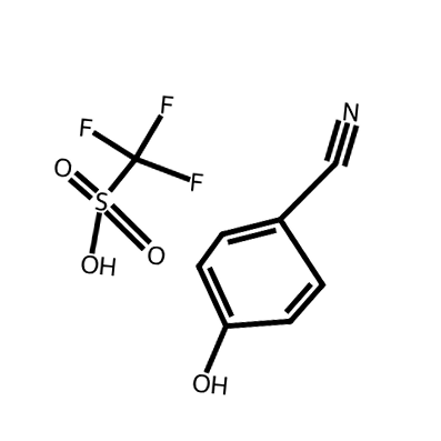 N#Cc1ccc(O)cc1.O=S(=O)(O)C(F)(F)F